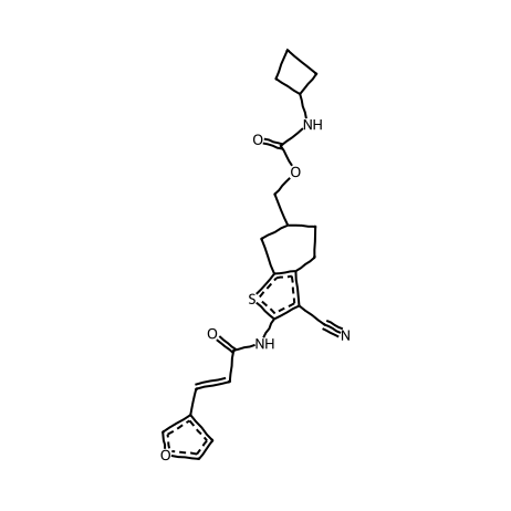 N#Cc1c(NC(=O)C=Cc2ccoc2)sc2c1CCC(COC(=O)NC1CCC1)C2